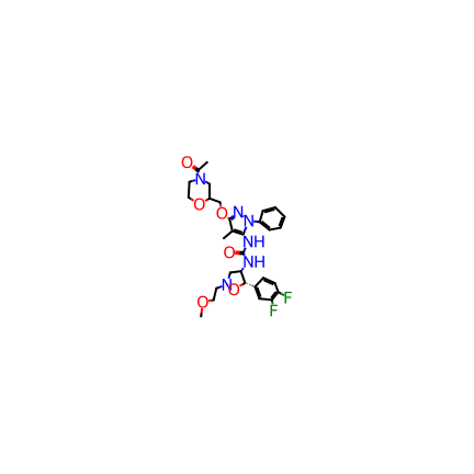 COCCN1C[C@@H](NC(=O)Nc2c(C)c(OCC3CN(C(C)=O)CCO3)nn2-c2ccccc2)[C@H](c2ccc(F)c(F)c2)O1